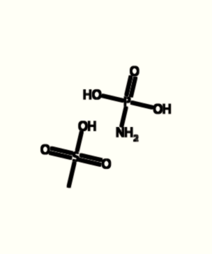 CS(=O)(=O)O.NP(=O)(O)O